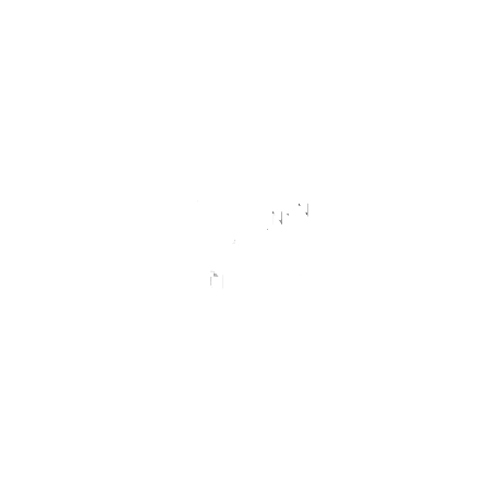 Cc1ccc(-c2cccc3cn(C)nc23)c(Cl)c1